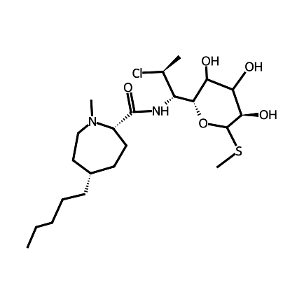 CCCCC[C@H]1CC[C@@H](C(=O)N[C@H]([C@H](C)Cl)[C@H]2OC(SC)[C@H](O)C(O)C2O)N(C)CC1